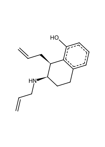 C=CCN[C@@H]1CCc2cccc(O)c2[C@@H]1CC=C